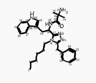 CCCCCCn1c(Cc2ccccc2)nnc1C(Cc1c[nH]c2ccccc12)NC(=O)C(C)(C)N